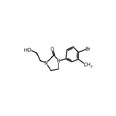 Cc1cc(N2CCN(CCO)C2=O)ccc1Br